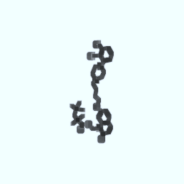 CC(C)(C)CC(C)(C)C(=O)OCn1c(=O)ccc2ccc(OCCCCN3CCN(c4cccc(Cl)c4Cl)CC3)cc21